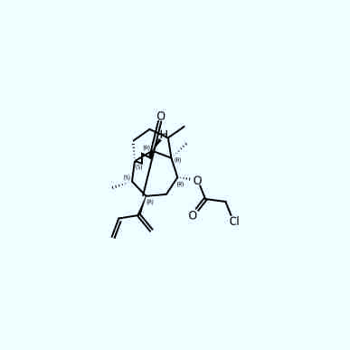 C=CC(=C)[C@@H]1C[C@@H](OC(=O)CCl)[C@]2(C)C(C)CC[C@]3(CCC(=O)[C@H]32)[C@H]1C